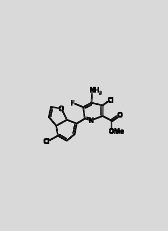 COC(=O)c1nc(C2=CC=C(Cl)C3C=COC23)c(F)c(N)c1Cl